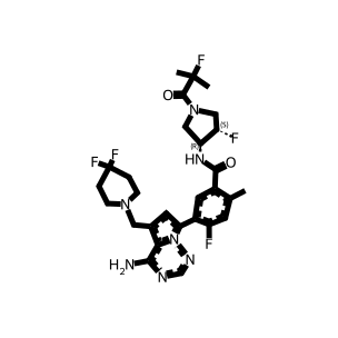 Cc1cc(F)c(-c2cc(CN3CCC(F)(F)CC3)c3c(N)ncnn23)cc1C(=O)N[C@@H]1CN(C(=O)C(C)(C)F)C[C@@H]1F